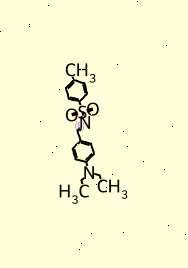 CCN(CC)c1ccc(/C=N/S(=O)(=O)c2ccc(C)cc2)cc1